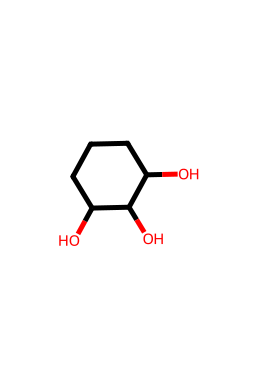 O[C]1CCCC(O)C1O